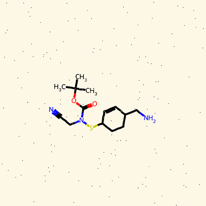 CC(C)(C)OC(=O)N(CC#N)SC1C=CC(CN)CC1